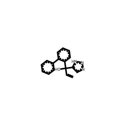 C=CC(O)(c1[c]nn[nH]1)c1ccccc1-c1ccccc1